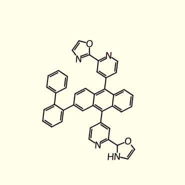 C1=COC(c2cc(-c3c4ccccc4c(-c4ccnc(-c5ncco5)c4)c4ccc(-c5ccccc5-c5ccccc5)cc34)ccn2)N1